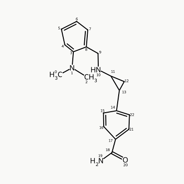 CN(C)c1ccccc1CNC1CC1c1ccc(C(N)=O)cc1